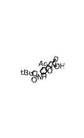 CC(=O)C1(c2ccc(NC(=O)OC(C)(C)C)cc2)CC(=O)N(O)C1=O